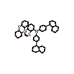 c1ccc2c(c1)Sc1ccccc1[Si]21c2ccccc2Sc2c(N(c3ccc(-c4cccc5ccccc45)cc3)c3ccc(-c4cccc5ccccc45)cc3)cccc21